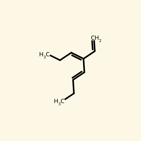 C=CC(C=CCC)=CCC